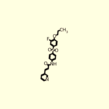 CCCOc1ccc(S(=O)(=O)c2ccc(NC(=O)/C=C/c3cccnc3)cc2)cc1F